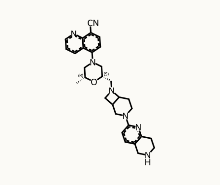 C[C@@H]1CN(c2ccc(C#N)c3ncccc23)C[C@H](CN2CC3CN(c4ccc5c(n4)CCNC5)CCC32)O1